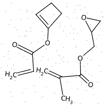 C=C(C)C(=O)OCC1CO1.C=CC(=O)OC1=CCC1